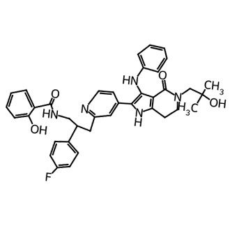 CC(C)(O)CN1CCc2[nH]c(-c3ccnc(CC(CNC(=O)c4ccccc4O)c4ccc(F)cc4)c3)c(Nc3ccccc3)c2C1=O